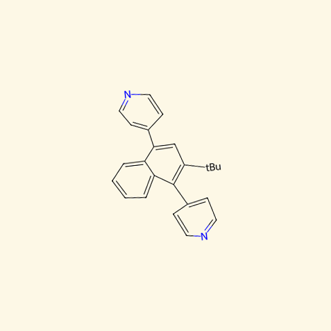 CC(C)(C)c1cc(-c2ccncc2)c2ccccc2c1-c1ccncc1